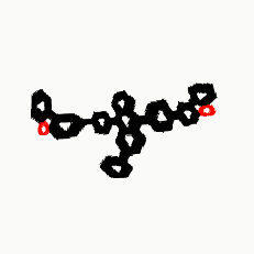 c1ccc(-c2ccc3c(-c4ccc(-c5ccc6oc7ccccc7c6c5)cc4)c4ccccc4c(-c4ccc(-c5ccc6oc7ccccc7c6c5)cc4)c3c2)cc1